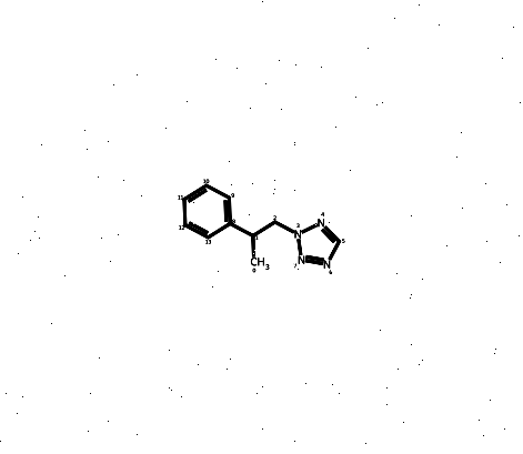 CC(Cn1ncnn1)c1ccccc1